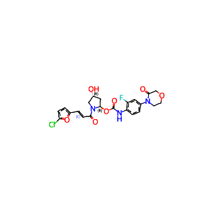 O=C(Nc1ccc(N2CCOCC2=O)cc1F)O[C@@H]1C[C@@H](O)CN1C(=O)/C=C/c1ccc(Cl)o1